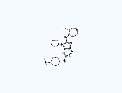 CO[C@H]1CC[C@H](Nc2ncc3nc(Nc4ccccc4F)n(C4CCCC4)c3n2)CC1